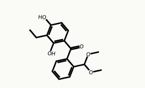 CCc1c(O)ccc(C(=O)c2ccccc2C(OC)OC)c1O